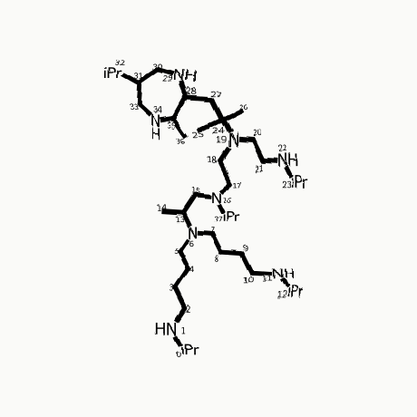 CC(C)NCCCCN(CCCCNC(C)C)C(C)CN(CCN(CCNC(C)C)C(C)(C)CC1NCC(C(C)C)CNC1C)C(C)C